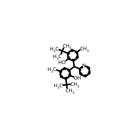 Cc1cc(C(c2ccccn2)c2cc(C)cc(C(C)(C)C)c2O)c(O)c(C(C)(C)C)c1